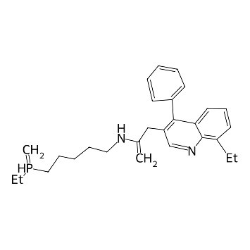 C=C(Cc1cnc2c(CC)cccc2c1-c1ccccc1)NCCCCC[PH](=C)CC